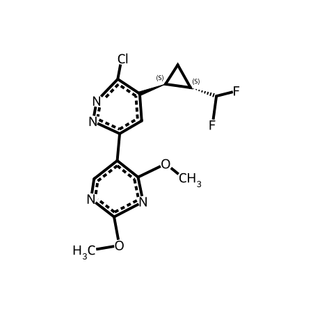 COc1ncc(-c2cc([C@H]3C[C@@H]3C(F)F)c(Cl)nn2)c(OC)n1